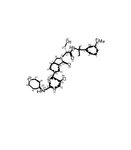 COc1cccc(C(C)(C)NC(=O)[C@@H](CO)N2Cc3ccc(-c4nc(NC5CCOCC5)ncc4Cl)cc3C2=O)c1